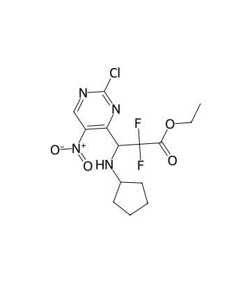 CCOC(=O)C(F)(F)C(NC1CCCC1)c1nc(Cl)ncc1[N+](=O)[O-]